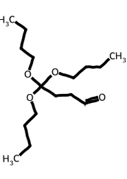 CCCCOC(CC[C]=O)(OCCCC)OCCCC